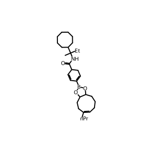 CCC/C1=C/CCCC2OB(C3=CCC(C(=O)NC(C)(CC)C4CCCCCCC4)C=C3)OC2CC1